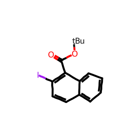 CC(C)(C)OC(=O)c1c(I)ccc2ccccc12